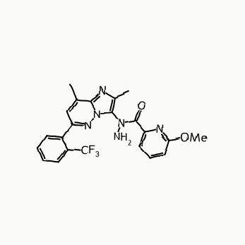 COc1cccc(C(=O)N(N)c2c(C)nc3c(C)cc(-c4ccccc4C(F)(F)F)nn23)n1